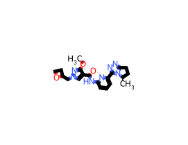 COc1nn(CC2CCO2)cc1C(=O)Nc1cccc(-c2nnc3n2[C@@H](C)CC3)n1